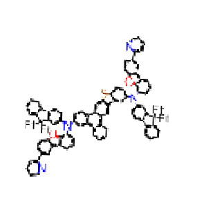 CCC1(CC)c2ccccc2-c2ccc(N(c3ccc4sc5cc6c7ccc(N(c8ccc9c(c8)C(CC)(CC)c8ccccc8-9)c8cccc9c8oc8ccc(-c%10ccccn%10)cc89)cc7c7ccccc7c6cc5c4c3)c3cccc4c3oc3ccc(-c5ccccn5)cc34)cc21